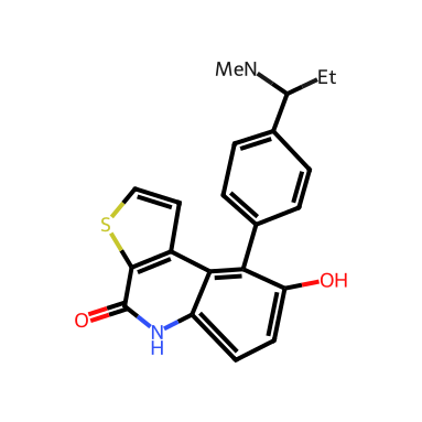 CCC(NC)c1ccc(-c2c(O)ccc3[nH]c(=O)c4sccc4c23)cc1